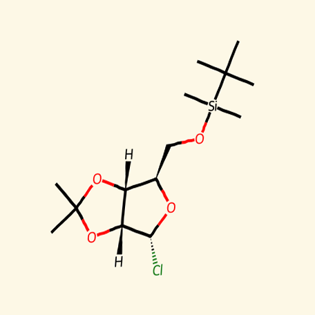 CC1(C)O[C@@H]2[C@H](O1)[C@@H](CO[Si](C)(C)C(C)(C)C)O[C@@H]2Cl